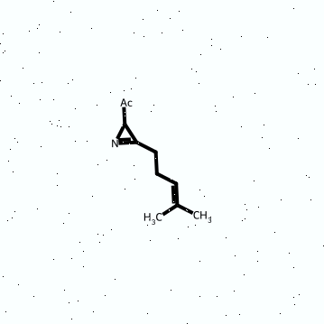 CC(=O)C1N=C1CCC=C(C)C